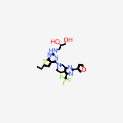 CCc1cc2c(N3CCc4c(nc(-c5ccoc5)nc4C(F)(F)F)C3)nc(NCC(O)CO)nc2s1